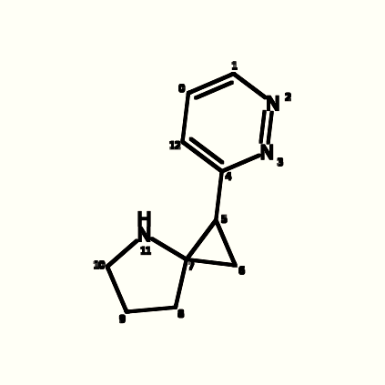 c1cnnc(C2CC23CCCN3)c1